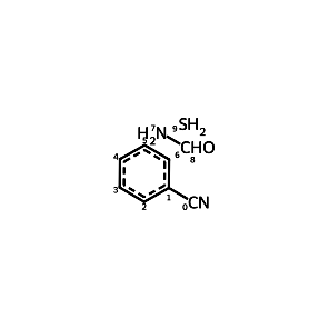 N#Cc1ccccc1.NC=O.S